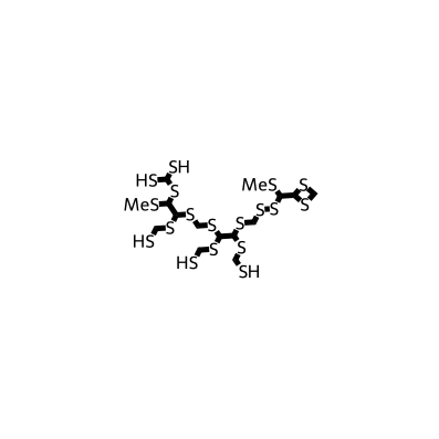 CSC(SSCSC(SCS)C(SCS)SCSC(SCS)C(SC)SC(S)S)C1SCS1